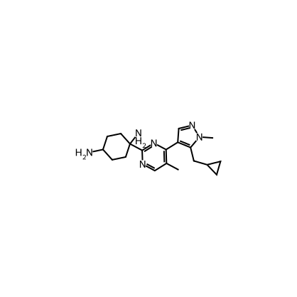 Cc1cnc(C2(N)CCC(N)CC2)nc1-c1cnn(C)c1CC1CC1